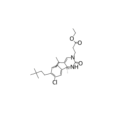 C=C(C)C1=CN(CCC(=O)OCC)C(=O)N[C@@]1(C)c1ccc(CCC(C)(C)C)c(Cl)c1